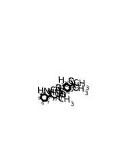 Cc1[nH]c2ccccc2c1CC(C)NS(=O)(=O)c1ccc(C(C)(C)C)cc1